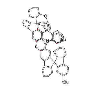 CC(C)(C)c1ccc2c(c1)C1(c3ccccc3-c3ccc(N(c4ccc5c(c4)C4(c6ccccc6Oc6ccccc64)c4ccccc4-5)c4ccccc4-c4ccccc4-c4ccccc4-c4ccccc4)cc31)c1cc(C(C)(C)C)ccc1-2